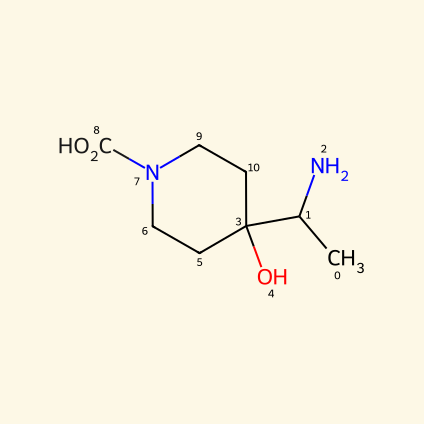 CC(N)C1(O)CCN(C(=O)O)CC1